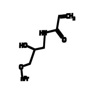 [CH2]CCOCC(O)CNC(=O)C=C